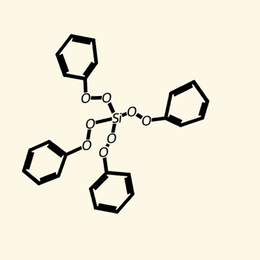 c1ccc(OO[Si](OOc2ccccc2)(OOc2ccccc2)OOc2ccccc2)cc1